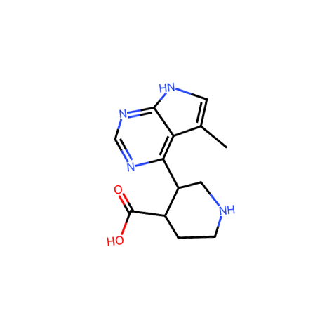 Cc1c[nH]c2ncnc(C3CNCCC3C(=O)O)c12